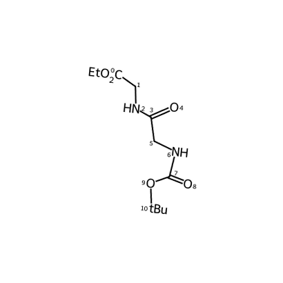 CCOC(=O)CNC(=O)CNC(=O)OC(C)(C)C